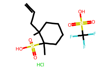 C=CCC1(C)CCCCC1(C)S(=O)(=O)O.Cl.O=S(=O)(O)C(F)(F)F